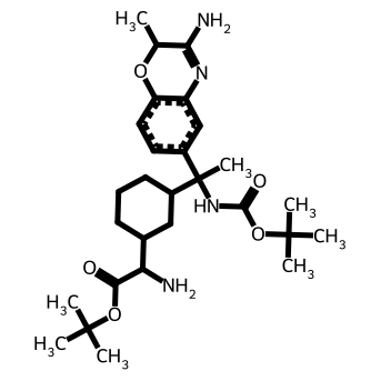 CC1Oc2ccc(C(C)(NC(=O)OC(C)(C)C)C3CCCC(C(N)C(=O)OC(C)(C)C)C3)cc2N=C1N